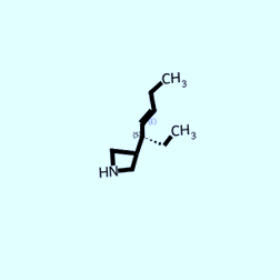 CC/C=C/[C@H](CC)C1CNC1